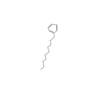 CCCCCCCC[CH]Cc1ccccc1